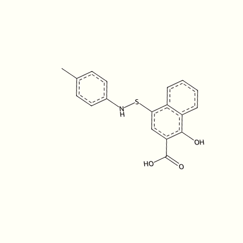 Cc1ccc(NSc2cc(C(=O)O)c(O)c3ccccc23)cc1